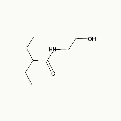 CC[C](CC)C(=O)NCCO